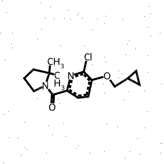 CC1(C)CCCN1C(=O)c1ccc(OCC2CC2)c(Cl)n1